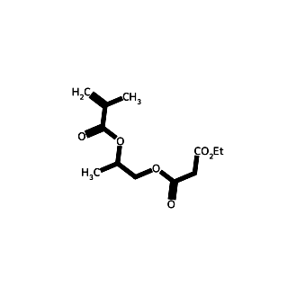 C=C(C)C(=O)OC(C)COC(=O)CC(=O)OCC